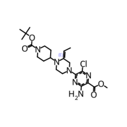 C/C=C1\CN(c2nc(N)c(C(=O)OC)nc2Cl)CCN1C1CCN(C(=O)OC(C)(C)C)CC1